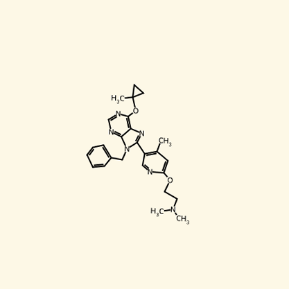 Cc1cc(OCCN(C)C)ncc1-c1nc2c(OC3(C)CC3)ncnc2n1Cc1ccccc1